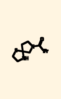 CC(C)C(=O)N1CCC2(C1)NCCS2